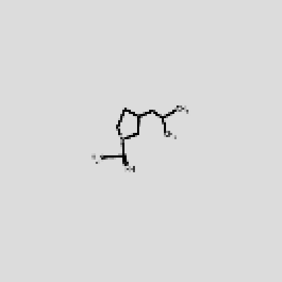 CC(C)CC1CCN(C(=N)N)C1